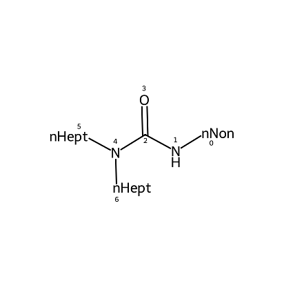 CCCCCCCCCNC(=O)N(CCCCCCC)CCCCCCC